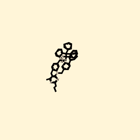 CCCc1nc(C)c(Cc2ccc(CO)cc2)c(OCc2ccc(-c3ccccc3C3(C(c4ccccc4)(c4ccccc4)c4ccccc4)N=NN=N3)cc2)n1